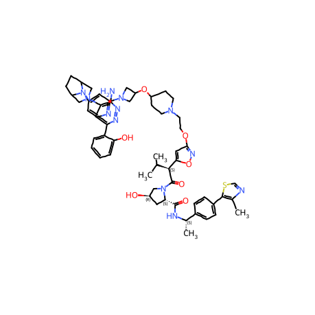 Cc1ncsc1-c1ccc([C@H](C)NC(=O)[C@@H]2C[C@@H](O)CN2C(=O)[C@H](c2cc(OCCN3CCC(OC4CN(c5cc(N6C7CCC6CN(c6cc(-c8ccccc8O)nnc6N)C7)ccn5)C4)CC3)no2)C(C)C)cc1